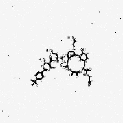 Cc1nc(-c2ccc(C(C)(C)C)cc2)nc(N)c1C(=O)NC(CCN)C(=O)N(C)C1C(=O)NC(C)C(=O)NC(C(=O)NCC#N)Cc2ccc(O)c(c2)-c2cc1ccc2OCCN